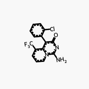 Nc1nc(=O)c(-c2ccccc2Cl)c2c(C(F)(F)F)cccn12